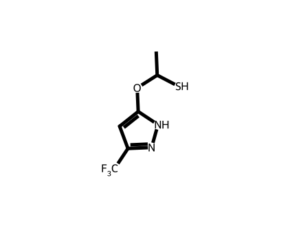 CC(S)Oc1cc(C(F)(F)F)n[nH]1